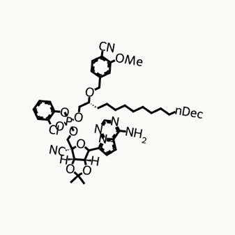 CCCCCCCCCCCCCCCCCCC[C@H](COP(=O)(OC[C@@]1(C#N)OC(c2ccc3c(N)ncnn23)[C@@H]2OC(C)(C)O[C@@H]21)Oc1ccccc1Cl)OCc1ccc(C#N)c(OC)c1